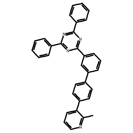 Cc1ncccc1-c1ccc(-c2cccc(-c3nc(-c4ccccc4)nc(-c4ccccc4)n3)c2)cc1